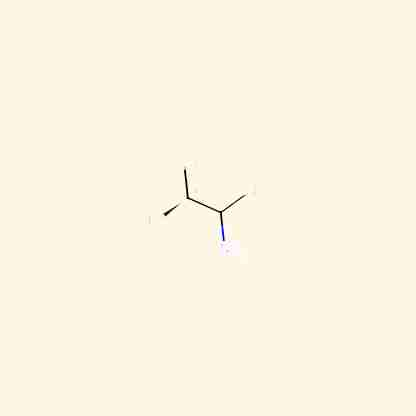 CCCC(N)[C@H](C)CC